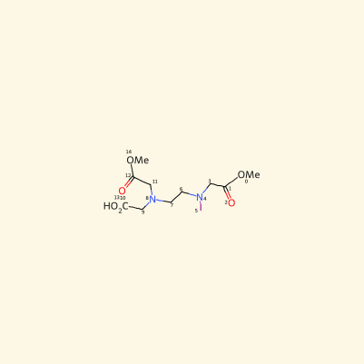 COC(=O)CN(I)CCN(CC(=O)O)CC(=O)OC